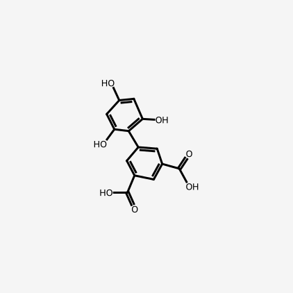 O=C(O)c1cc(C(=O)O)cc(-c2c(O)cc(O)cc2O)c1